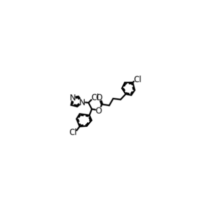 O=C(CCCc1ccc(Cl)cc1)OC(c1ccc(Cl)cc1)C(Cl)n1ccnc1